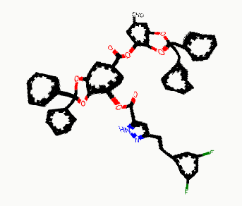 O=Cc1cc(OC(=O)c2cc(OC(=O)c3cc(CCc4cc(F)cc(F)c4)n[nH]3)c3c(c2)OC(c2ccccc2)(c2ccccc2)O3)c2c(c1)OC(c1ccccc1)(c1ccccc1)O2